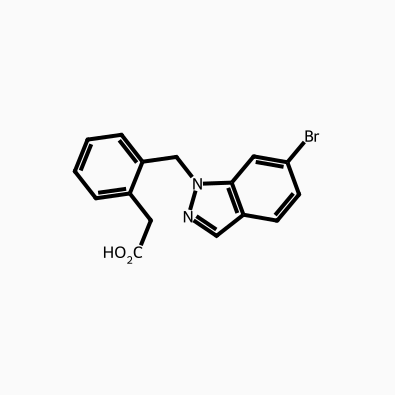 O=C(O)Cc1ccccc1Cn1ncc2ccc(Br)cc21